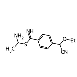 CCOC(C#N)c1ccc(C(=N)SC(C)N)cc1